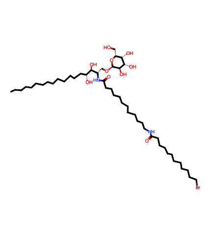 CCCCCCCCCCCCCC[C@@H](O)[C@@H](O)[C@H](CO[C@H]1O[C@H](CO)[C@H](O)[C@H](O)[C@H]1O)NC(=O)CCCCCCCCCCCNC(=O)CCCCCCCCCCCBr